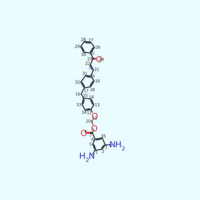 Nc1cc(N)cc(C(=O)OCOc2ccc(Cc3ccc(/C=C/C(=O)c4ccccc4)cc3)cc2)c1